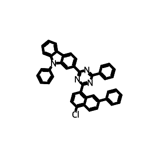 Clc1ccc(-c2nc(-c3ccccc3)nc(-c3ccc4c5ccccc5n(-c5ccccc5)c4c3)n2)c2cc(-c3ccccc3)ccc12